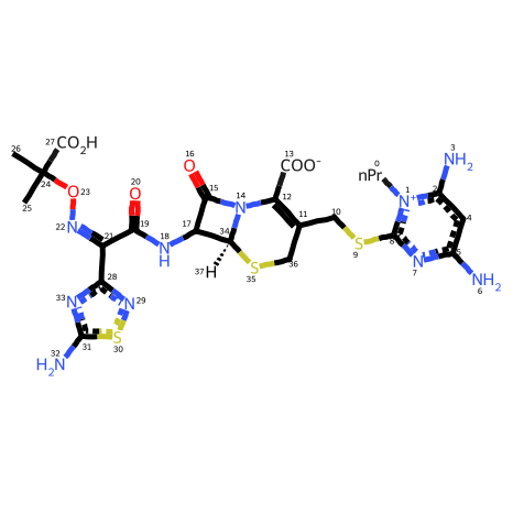 CCC[n+]1c(N)cc(N)nc1SCC1=C(C(=O)[O-])N2C(=O)C(NC(=O)/C(=N\OC(C)(C)C(=O)O)c3nsc(N)n3)[C@@H]2SC1